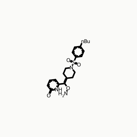 CCCCc1ccc(S(=O)(=O)N2CCC(=C(ON)c3cccc(=O)[nH]3)CC2)cc1